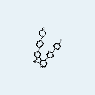 CN1CCN(c2ccc(-c3ccc4[nH]c5nccc(-c6ccc(-c7ccc(F)cc7)nc6)c5c4c3)cc2)CC1